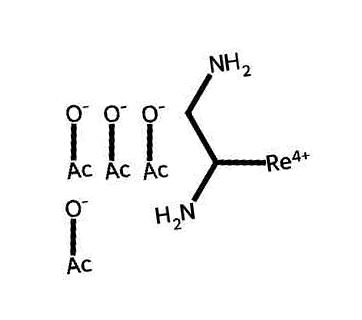 CC(=O)[O-].CC(=O)[O-].CC(=O)[O-].CC(=O)[O-].NC[CH](N)[Re+4]